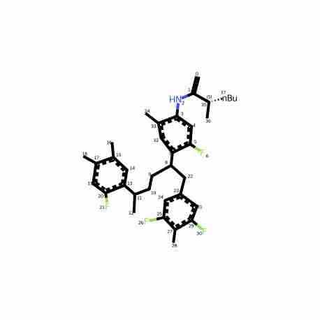 C=C(Nc1cc(F)c(C(CCC(C)c2cc(C)c(C)cc2F)Cc2cc(F)c(C)c(F)c2)cc1C)[C@@H](C)CCCC